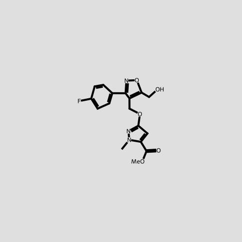 COC(=O)c1cc(OCc2c(-c3ccc(F)cc3)noc2CO)nn1C